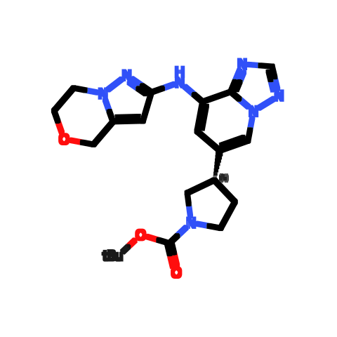 CC(C)(C)OC(=O)N1CC[C@@H](c2cc(Nc3cc4n(n3)CCOC4)c3ncnn3c2)C1